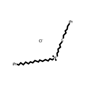 CC(C)CCCCCCCCCCCCCCC[N+](C)(C)CCCCCCCCCCCCCCCC(C)C.[Cl-]